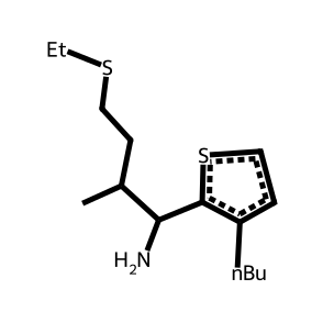 CCCCc1ccsc1C(N)C(C)CCSCC